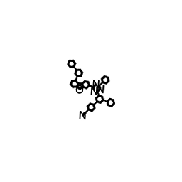 N#Cc1ccc(-c2cc(-c3ccccc3)cc(-c3nc(-c4ccccc4)nc(-c4ccc5c(c4)oc4cccc(-c6cccc(-c7ccccc7)c6)c45)n3)c2)cc1